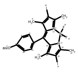 COc1ccc(C2=C3C(C)=C(I)C(C)=[N+]3[B-](F)(F)n3c(C)c(I)c(C)c32)cc1